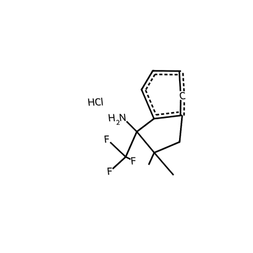 CC1(C)Cc2ccccc2C1(N)C(F)(F)F.Cl